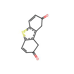 O=C1C=Cc2sc3c(c2C1)CC(=O)C=C3